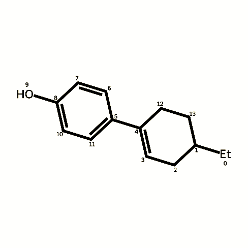 CCC1CC=C(c2ccc(O)cc2)CC1